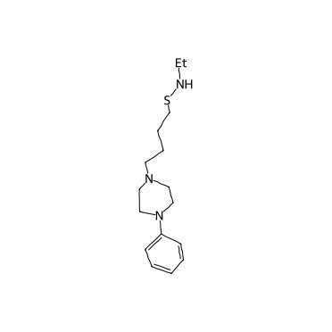 CCNSCCCCN1CCN(c2ccccc2)CC1